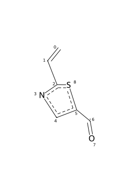 C=Cc1ncc([C]=O)s1